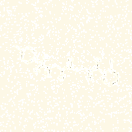 Cc1ccc(S(=O)(=O)NCC(=O)NCCNC(=O)c2ccccc2F)cc1